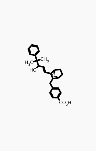 CC(C)(c1ccccc1)C(O)C=CC1C2CCC(O2)C1Cc1ccc(C(=O)O)cc1